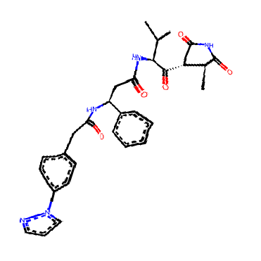 CC(C)[C@H](NC(=O)C[C@H](NC(=O)Cc1ccc(-n2cccn2)cc1)c1ccccc1)C(=O)[C@@H]1C(=O)NC(=O)[C@H]1C